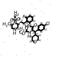 COC(=O)N[C@H](C(=O)Nc1cccc(F)c1CC[C@H]1CNC[C@@H](C)N1S(C)(=O)=O)C(c1ccc(Cl)cc1)C1CCOCC1